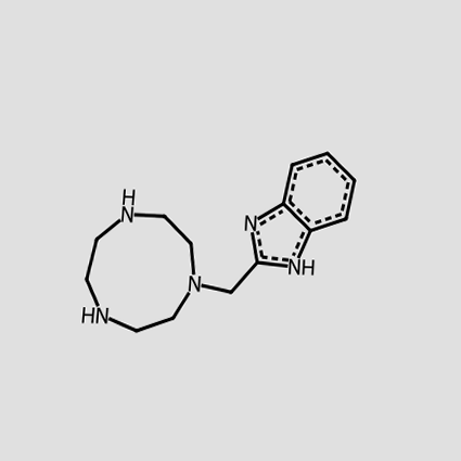 c1ccc2[nH]c(CN3CCNCCNCC3)nc2c1